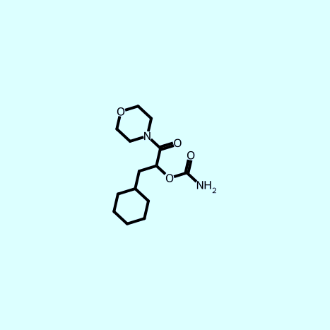 NC(=O)OC(CC1CCCCC1)C(=O)N1CCOCC1